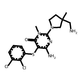 Cn1c(N2CCC(C)(CN)C2)nc(N)c(Sc2cccc(Cl)c2Cl)c1=O